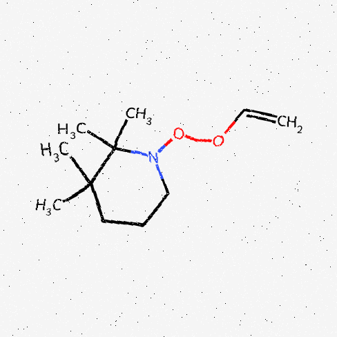 C=COON1CCCC(C)(C)C1(C)C